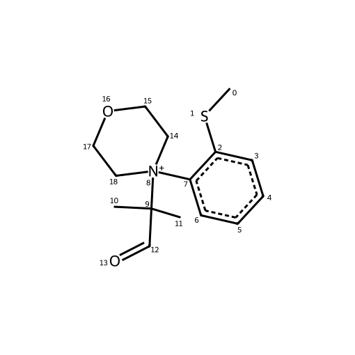 CSc1ccccc1[N+]1(C(C)(C)C=O)CCOCC1